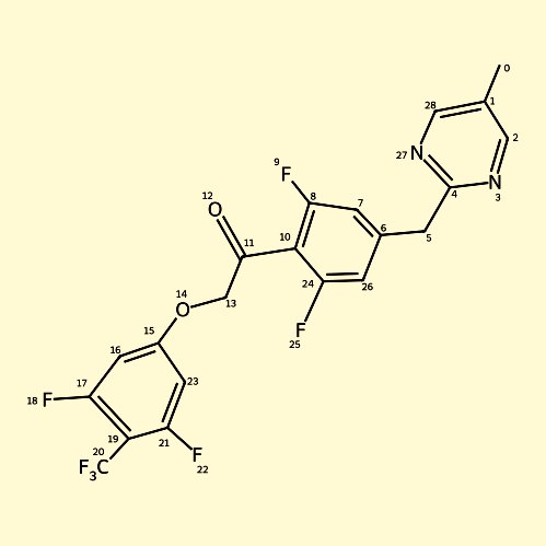 Cc1cnc(Cc2cc(F)c(C(=O)COc3cc(F)c(C(F)(F)F)c(F)c3)c(F)c2)nc1